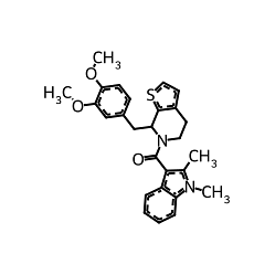 COc1ccc(CC2c3sccc3CCN2C(=O)c2c(C)n(C)c3ccccc23)cc1OC